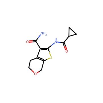 NC(=O)c1c(NC(=O)C2CC2)sc2c1CCOC2